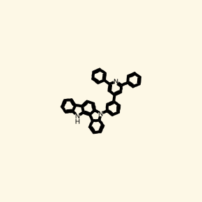 C1=CC2c3c(ccc4c3[nH]c3ccccc34)N(c3cccc(-c4cc(-c5ccccc5)nc(-c5ccccc5)c4)c3)C2C=C1